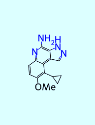 COc1ccc2nc(N)c3[nH]ncc3c2c1C1CC1